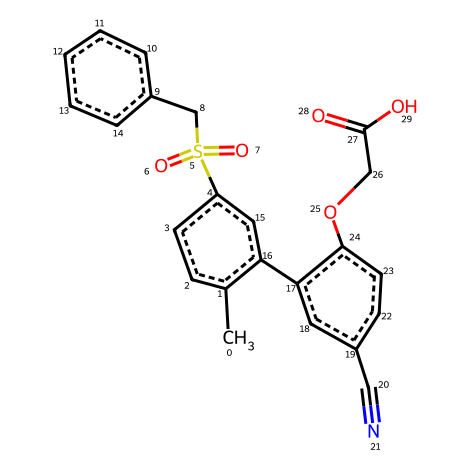 Cc1ccc(S(=O)(=O)Cc2ccccc2)cc1-c1cc(C#N)ccc1OCC(=O)O